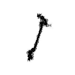 Cc1ncsc1-c1ccc(CNC(=O)[C@@H]2C[C@@H](O)CN2C(=O)[C@@H](NC(=O)COCCOCCCCOCCCCOCCOCCOc2ccc(N3C(=S)N(c4ccc(C#N)c(C(F)(F)F)c4)C(=O)C3(C)C)cc2)C(C)(C)C)cc1